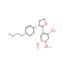 CCCCc1ccc(-c2cnoc2-c2cc(OC)c(OC)cc2OC)cc1